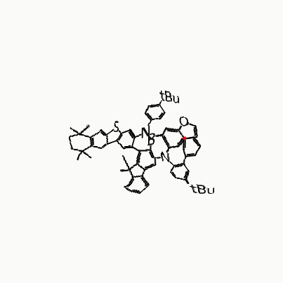 CC(C)(C)c1ccc(N2B3c4cc5occc5cc4N(c4ccc(C(C)(C)C)cc4-c4ccccc4)c4cc5c(c(c43)-c3cc4c(cc32)sc2cc3c(cc24)C(C)(C)CCC3(C)C)C(C)(C)c2ccccc2-5)cc1